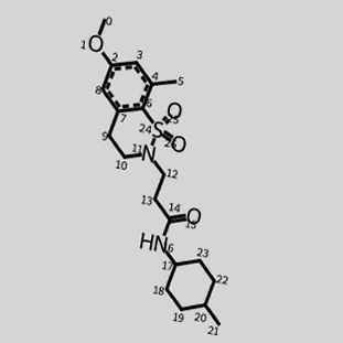 COc1cc(C)c2c(c1)CCN(CCC(=O)NC1CCC(C)CC1)S2(=O)=O